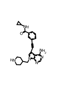 Nc1ncnc2c1c(C#Cc1cccc(C(=O)NC3CC3)c1)cn2CC1CCNCC1